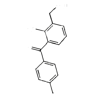 Cc1ccc(C(=O)c2cccc(CC(=O)O)c2[N+](=O)[O-])cc1